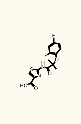 CC(C)(Oc1ccc(F)cc1F)C(=O)Nc1nc(C(=O)O)cs1